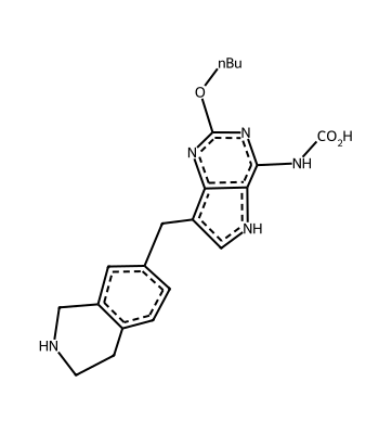 CCCCOc1nc(NC(=O)O)c2[nH]cc(Cc3ccc4c(c3)CNCC4)c2n1